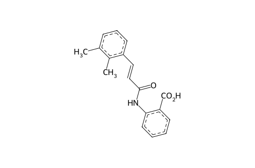 Cc1cccc(C=CC(=O)Nc2ccccc2C(=O)O)c1C